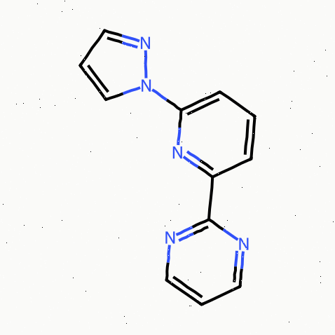 c1cnc(-c2cccc(-n3cccn3)n2)nc1